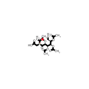 CC(=O)O[C@@H]([C@H](OC(C)=O)[C@@H](OC(C)=O)C(=O)N(CC(=O)O)C(C)=O)[C@@H](CO)OC(C)=O